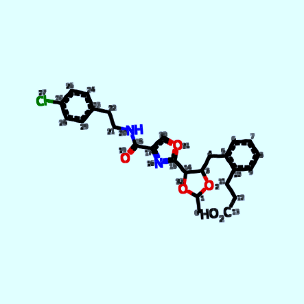 CC1OC(Cc2ccccc2CCC(=O)O)C(c2nc(C(=O)NCCc3ccc(Cl)cc3)co2)O1